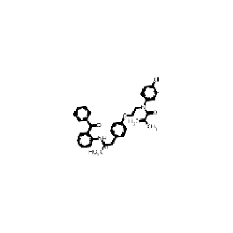 C=C(C)C(=O)N(CCOc1ccc(C[C@H](Nc2ccccc2C(=O)c2ccccc2)C(=O)O)cc1)c1ccc(Cl)cc1